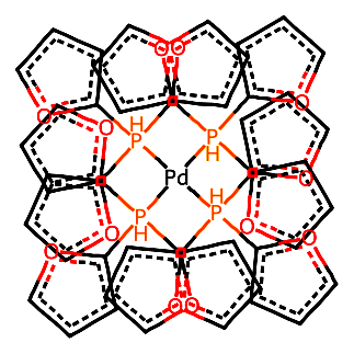 c1coc([PH](c2ccco2)(c2ccco2)[Pd]([PH](c2ccco2)(c2ccco2)c2ccco2)([PH](c2ccco2)(c2ccco2)c2ccco2)[PH](c2ccco2)(c2ccco2)c2ccco2)c1